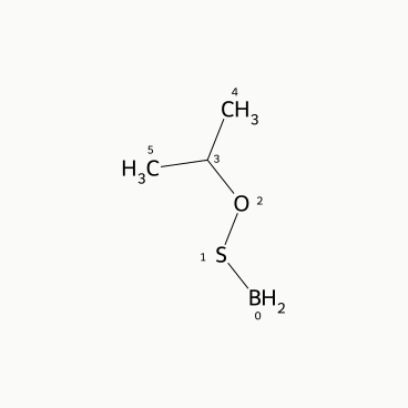 BSOC(C)C